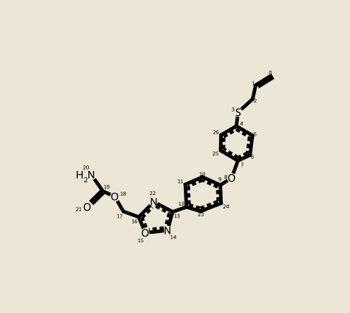 C=CCSc1ccc(Oc2ccc(-c3noc(COC(N)=O)n3)cc2)cc1